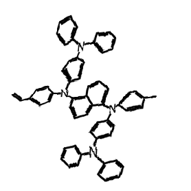 C=Cc1ccc(N(c2ccc(N(c3ccccc3)c3ccccc3)cc2)c2cccc3c(N(c4ccc(C)cc4)c4ccc(N(c5ccccc5)c5ccccc5)cc4)cccc23)cc1